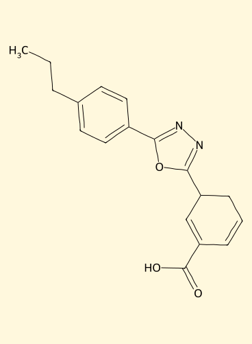 CCCc1ccc(-c2nnc(C3C=C(C(=O)O)C=CC3)o2)cc1